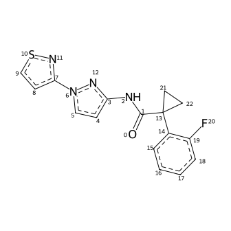 O=C(Nc1ccn(-c2ccsn2)n1)C1(c2ccccc2F)CC1